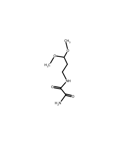 COC(CCNC(=O)C(N)=O)OC